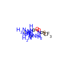 NC1CC(N)CN(c2nc(Nc3ccc(C(=O)CC(=O)Nc4ccc(SC(F)(F)F)cc4)cc3)nc(N3C[C@H](N)C[C@@H](N)C3)n2)C1